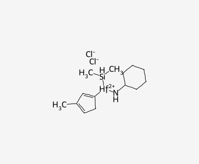 CC1=CC[C]([Hf+2]([NH]C2CCCCC2)[SiH](C)C)=C1.[Cl-].[Cl-]